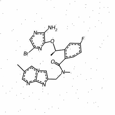 Cc1cnc2nc(CN(C)C(=O)c3ccc(F)cc3[C@@H](C)Oc3nc(Br)cnc3N)cn2c1